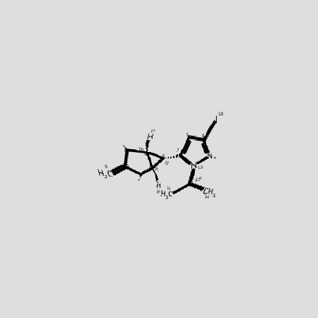 C=C1C[C@@H]2[C@H](C1)[C@@H]2c1cc(I)nn1C(C)C